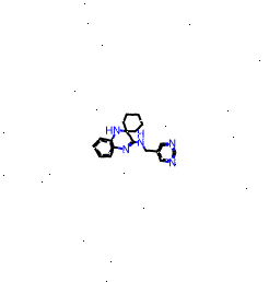 c1ccc2c(c1)N=C(NCc1cncnc1)C1(CCCCC1)N2